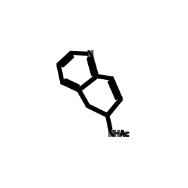 CC(=O)NC1C=Cc2ncccc2C1